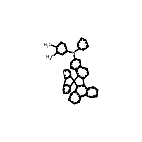 Cc1ccc(N(c2ccccc2)c2ccc3c4c(ccc3c2)-c2c(c3ccccc3c3ccccc23)C42c3ccccc3-c3ccccc32)cc1C